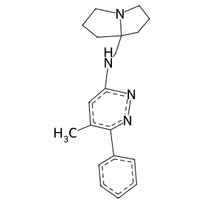 Cc1cc(NCC23CCCN2CCC3)nnc1-c1ccccc1